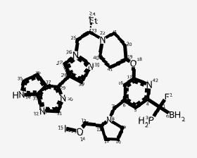 BC(F)(P)c1cc(CN2CCCC2COI)cc(OC2CCN([C@@H](CC)Cn3cc(-c4ncnc5[nH]ccc45)cn3)CC2)n1